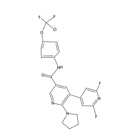 O=C(Nc1ccc(OC(F)(F)Cl)cc1)c1cnc(N2CCCC2)c(-c2cc(F)nc(F)c2)c1